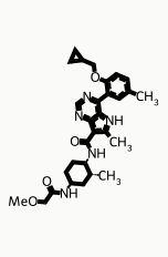 COCC(=O)N[C@H]1CC[C@H](NC(=O)c2c(C)[nH]c3c(-c4cc(C)ccc4OCC4CC4)ncnc23)[C@H](C)C1